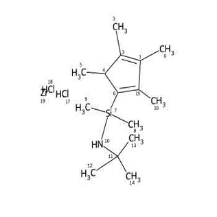 CC1=C(C)C(C)C([Si](C)(C)NC(C)(C)C)=C1C.Cl.Cl.[Zr]